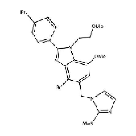 COCCn1c(-c2ccc(C(C)C)cc2)nc2c(Br)c(Cn3ccnc3SC)cc(OC)c21